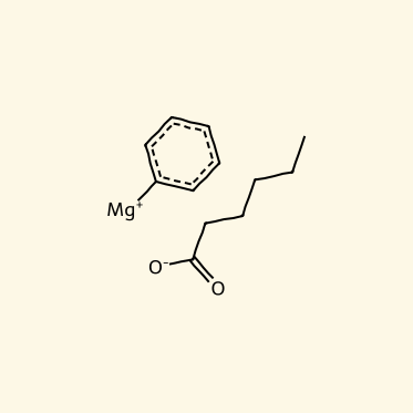 CCCCCC(=O)[O-].[Mg+][c]1ccccc1